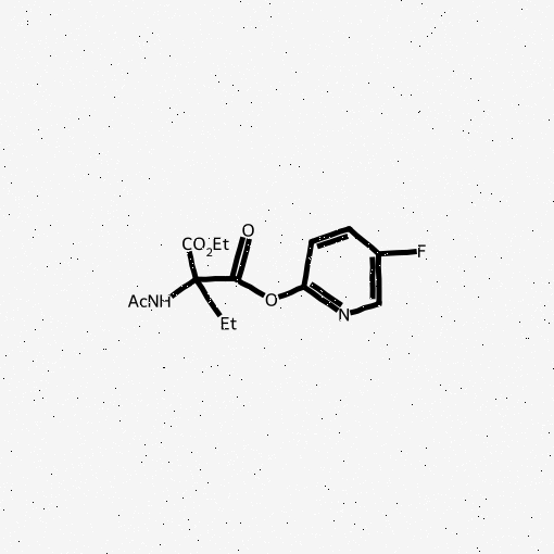 CCOC(=O)C(CC)(NC(C)=O)C(=O)Oc1ccc(F)cn1